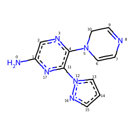 Nc1cnc(N2C=CN=CC2)c(-n2cccn2)n1